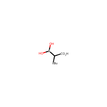 CCCCC(B(O)O)C(=O)O